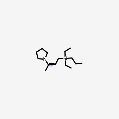 CCC[Si](CC)(CC)C/C=C(/C)N1CCCC1